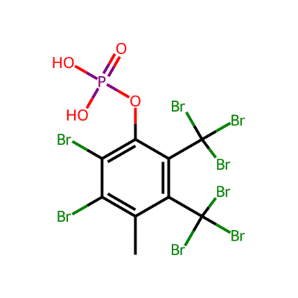 Cc1c(Br)c(Br)c(OP(=O)(O)O)c(C(Br)(Br)Br)c1C(Br)(Br)Br